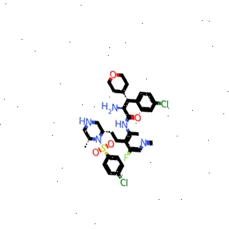 C=N/C=C(F)\C(CC[C@H]1CNC[C@@H](C)N1S(=O)(=O)c1ccc(Cl)cc1)=C(/C)NC(=O)[C@@H](N)[C@@H](c1ccc(Cl)cc1)C1CCOCC1